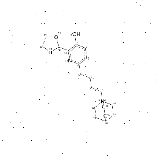 Oc1ccc(CCCC[N+]23CCC(CC2)CC3)nc1C1OCCO1